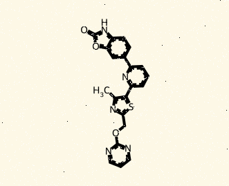 Cc1nc(COc2ncccn2)sc1-c1cccc(-c2ccc3[nH]c(=O)oc3c2)n1